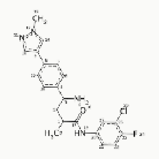 CC(CC(N)c1ccc(-c2cnn(C)c2)cc1)C(=O)Nc1ccc(F)c(Cl)c1